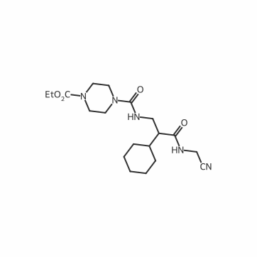 CCOC(=O)N1CCN(C(=O)NCC(C(=O)NCC#N)C2CCCCC2)CC1